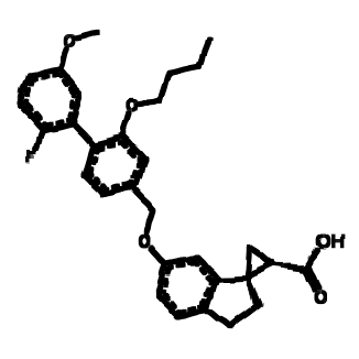 CCCCOc1cc(COc2ccc3c(c2)[C@]2(CC3)C[C@H]2C(=O)O)ccc1-c1cc(OC)ccc1F